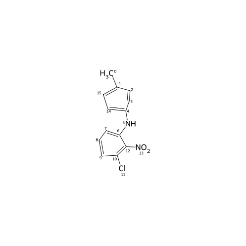 Cc1ccc(Nc2cccc(Cl)c2[N+](=O)[O-])cc1